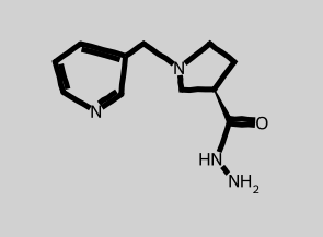 NNC(=O)[C@@H]1CCN(Cc2cccnc2)C1